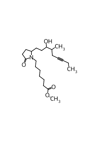 CCC#CCC(C)C(O)CCC1CCC(=O)N1CCCCCCC(=O)OC